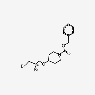 O=C(OCc1ccccc1)N1CCC(OC[C@H](Br)CBr)CC1